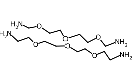 NCCOCCOCCOCCN.NCOCCOCCOCN